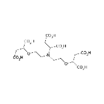 O=C(O)CC(OCCN(CCOC(CC(=O)O)C(=O)O)C(CC(=O)O)C(=O)O)C(=O)O